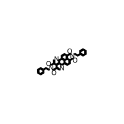 O=C1c2ccc3c4ncc5c6c(cnc(c7ccc(c2c37)C(=O)N1CCc1ccccc1)c64)C(=O)N(CCc1ccccc1)C5=O